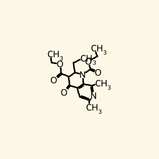 CCOC(=O)C1C(=O)c2cc(C)nc(C)c2N(C(=O)OCC)C1CC